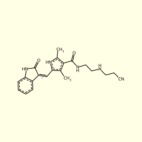 Cc1[nH]c(/C=C2\C(=O)Nc3ccccc32)c(C)c1C(=O)NCCNCCC#N